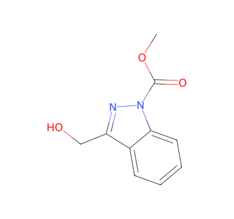 COC(=O)n1nc(CO)c2ccccc21